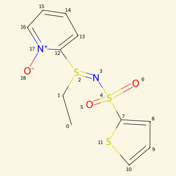 CCS(=NS(=O)(=O)c1cccs1)c1cccc[n+]1[O-]